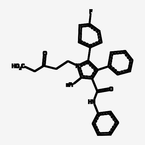 CCCc1c(C(=O)Nc2ccccc2)c(-c2ccccc2)c(-c2ccc(F)cc2)n1CCC(=O)CC(=O)O